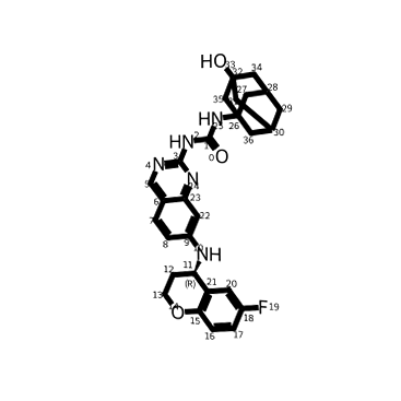 O=C(Nc1ncc2ccc(N[C@@H]3CCOc4ccc(F)cc43)cc2n1)NC12CC3CC(CC(O)(C3)C1)C2